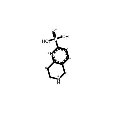 O=P(O)(O)c1ccc2c(n1)CCNC2